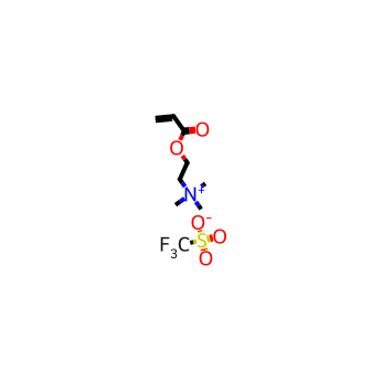 C=CC(=O)OCC[N+](C)(C)C.O=S(=O)([O-])C(F)(F)F